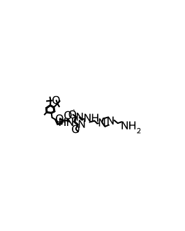 COc1nc(NCCCN2CCN(CCCN)CC2)nc(OC)c1NC(=O)c1ccc(Cc2cc3c(cc2C)C(C)(C)OC3(C)C)o1